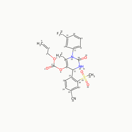 C=CCOC(=O)OC1=C(C)N(c2cccc(C(F)(F)F)c2)C(=O)NC1c1ccc(C#N)cc1S(C)(=O)=O